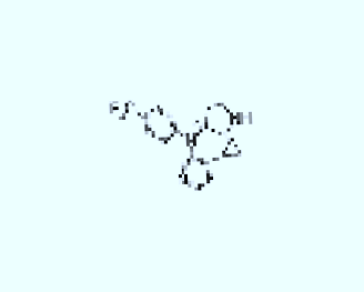 FC(F)(F)c1ccc(N(c2cnccc2C2CC2)[C@H]2CCNC2)cc1